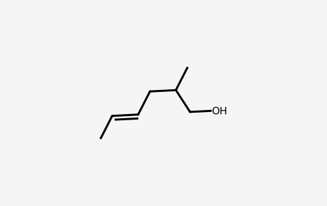 CC=CCC(C)CO